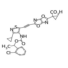 CC(OC(=O)Nc1c(C2CC2)nsc1C#Cc1nc2oc(C3(C(=O)O)CC3)nc2o1)c1ccccc1Cl